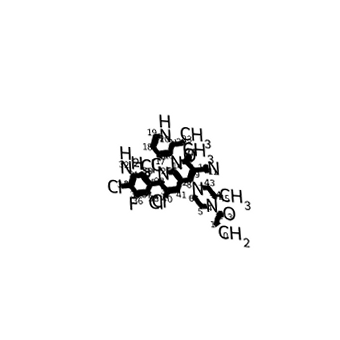 C=CC(=O)N1CCN(c2c(C#N)c(=O)n(C3=C(C)C=CNC3C(C)C)c3nc(-c4c(Cl)c(N)c(Cl)c(F)c4Cl)c(Cl)cc23)C[C@H]1C